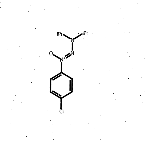 CC(C)N(N=[N+]([O-])c1ccc(Cl)cc1)C(C)C